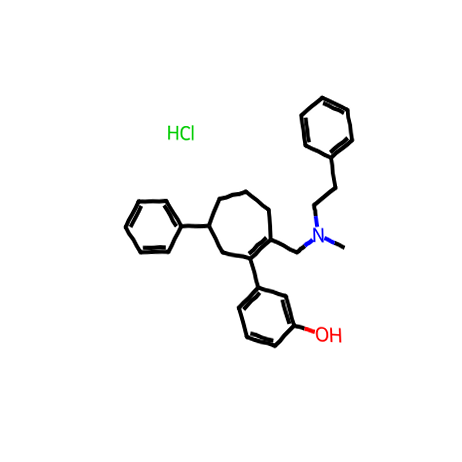 CN(CCc1ccccc1)CC1=C(c2cccc(O)c2)CC(c2ccccc2)CCC1.Cl